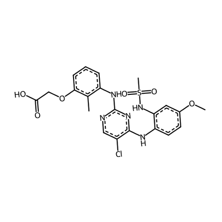 COc1ccc(Nc2nc(Nc3cccc(OCC(=O)O)c3C)ncc2Cl)c(NS(C)(=O)=O)c1